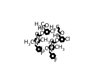 CC(=O)Nc1cc(Cl)ccc1OCC(=O)N1C[C@@H](C)N(Cc2ccc(F)cc2)C[C@@H]1C.CCCC(=O)Nc1cc(Cl)ccc1OCC(=O)N1C[C@@H](C)N(Cc2ccc(F)cc2)C[C@@H]1C